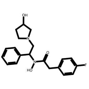 O=C(Cc1ccc(F)cc1)N(O)C(CN1CCC(O)C1)c1ccccc1